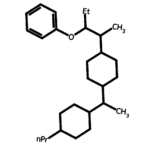 CCCC1CCC(C(C)C2CCC(C(C)C(CC)Oc3ccccc3)CC2)CC1